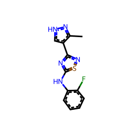 Cc1n[nH]cc1-c1nsc(Nc2ccccc2F)n1